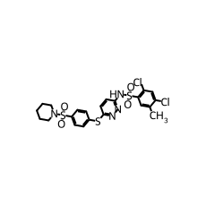 Cc1cc(S(=O)(=O)Nc2ccc(Sc3ccc(S(=O)(=O)N4CCCCC4)cc3)nn2)c(Cl)cc1Cl